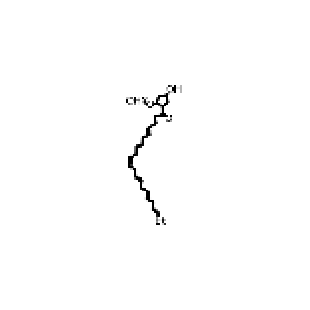 CC/C=C/C/C=C/C/C=C/C/C=C\C/C=C/C/C=C/CCC(=O)C1CC(O)CC1OC=O